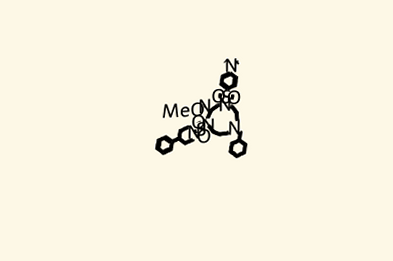 CO/N=C1/CN(S(=O)(=O)c2ccc(N(C)C)cc2)CCCN(CC2CCCCC2)CCCN(S(=O)(=O)N2CCC(c3ccccc3)CC2)C1